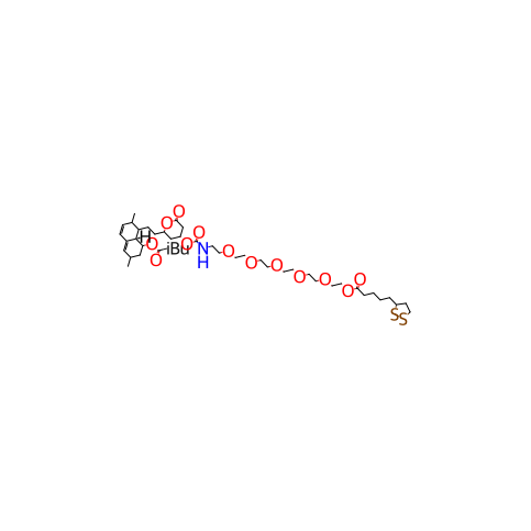 CCC(C)C(=O)OC1CC(C)C=C2C=CC(C)C(CCC3CC(OC(=O)NCCOCCOCCOCCOCCOCCOC(=O)CCCCC4CCSS4)CC(=O)O3)[C@@H]21